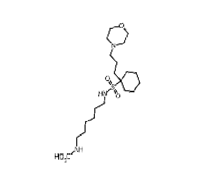 O=C(O)NCCCCCCNS(=O)(=O)C1(CCCN2CCOCC2)CCCCC1